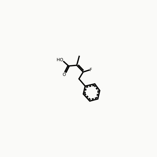 CC(C(=O)O)=C(F)Cc1ccccc1